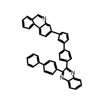 c1ccc(-c2ccc(-c3nc4ccccc4nc3-c3ccc(-c4cccc(-c5ccc6c(c5)ncc5ccccc56)c4)cc3)cc2)cc1